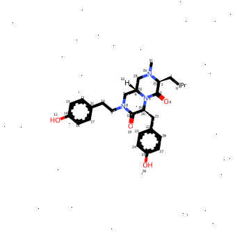 CC(C)C[C@H]1C(=O)N2[C@H](CN(CCc3ccc(O)cc3)C(=O)[C@@H]2Cc2ccc(O)cc2)CN1C